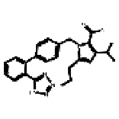 CCCc1cc(C(C)C)c(C(=O)O)n1Cc1ccc(-c2ccccc2-c2nnn[nH]2)cc1